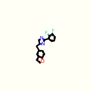 Fc1cccc(C2=NC(Cc3ccc4occc4c3)C=N2)c1F